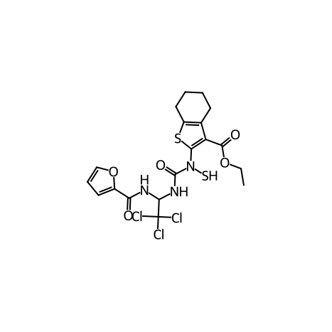 CCOC(=O)c1c(N(S)C(=O)NC(NC(=O)c2ccco2)C(Cl)(Cl)Cl)sc2c1CCCC2